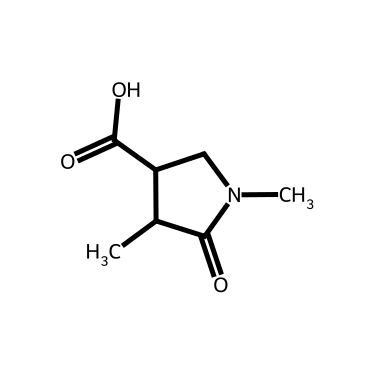 CC1C(=O)N(C)CC1C(=O)O